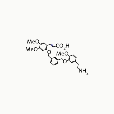 COc1cc(/C=C/C(=O)O)c(OCc2cccc(COc3cc(CCN)ccc3OC)c2)cc1OC